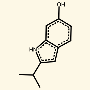 CC(C)c1cc2ccc(O)cc2[nH]1